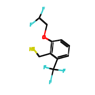 FC(F)COc1cccc(C(F)(F)F)c1CS